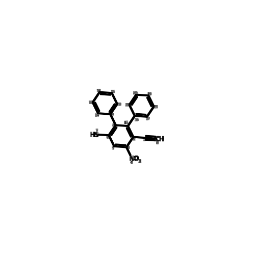 C#Cc1c([N+](=O)[O-])cc(S)c(-c2ccccc2)c1-c1ccccc1